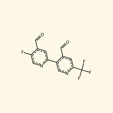 O=Cc1cc(-c2cnc(C(F)(F)F)cc2C=O)ncc1F